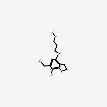 COCCCOc1cc(CBr)c(Br)c2c1CCO2